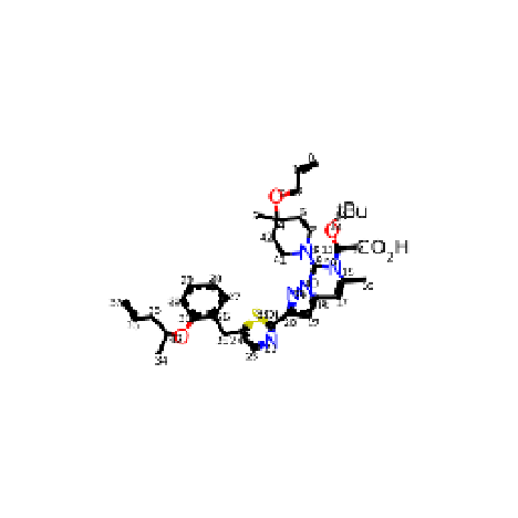 C=CCOC1(C)CCN(C2N(C(OC(C)(C)C)C(=O)O)C(C)=Cc3cc(-c4ncc(Cc5ccccc5OC(C)CC=C)s4)nn32)CC1